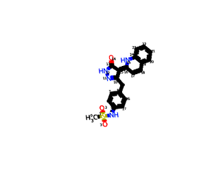 CS(=O)(=O)Nc1ccc(CC2=NNC(=O)C2=C2C=Cc3ccccc3N2)cc1